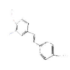 CCOc1ccc(/C=C/c2ccc(NC)cc2)cc1N